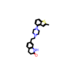 Cc1cc2c(N3CCN(CCc4ccc5c(c4)NC(=O)CC5)CC3)cccc2s1